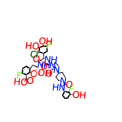 O=C(O)c1c(F)ccc2c1OB(O)C(NC(=O)C(NC(=O)N1CCN(C3CCN(C(=O)Nc4cccc(O)c4F)CC3)C1=O)c1cc(F)c(O)c(O)c1Cl)C2